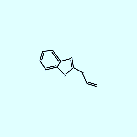 C=C[CH]c1nc2ccccc2s1